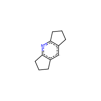 [c]1c2c(nc3c1CCC3)CCC2